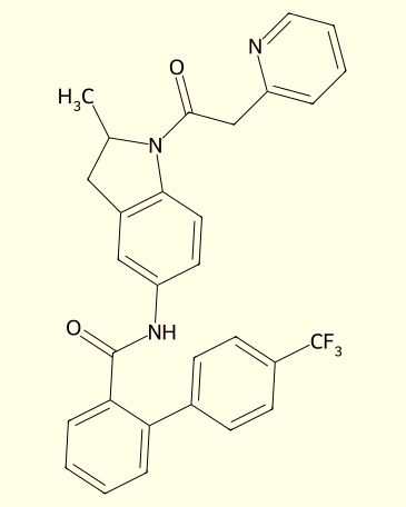 CC1Cc2cc(NC(=O)c3ccccc3-c3ccc(C(F)(F)F)cc3)ccc2N1C(=O)Cc1ccccn1